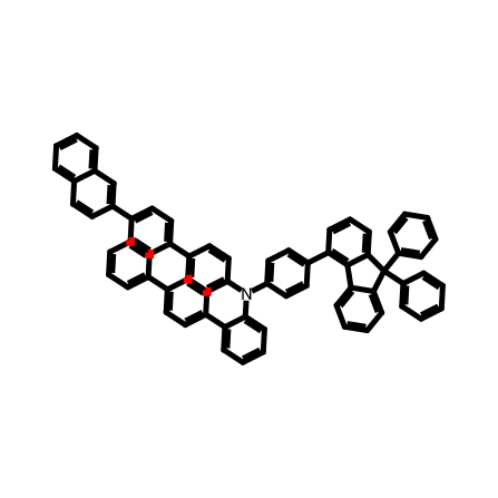 c1ccc(-c2ccc(-c3ccccc3N(c3ccc(-c4ccc(-c5ccc6ccccc6c5)cc4)cc3)c3ccc(-c4cccc5c4-c4ccccc4C5(c4ccccc4)c4ccccc4)cc3)cc2)cc1